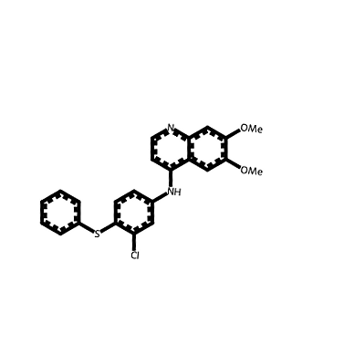 COc1cc2nccc(Nc3ccc(Sc4ccccc4)c(Cl)c3)c2cc1OC